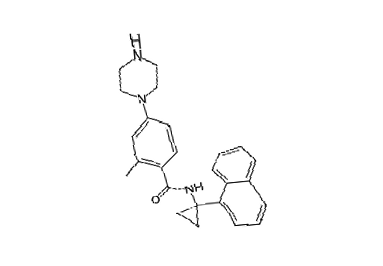 Cc1cc(N2CCNCC2)ccc1C(=O)NC1(c2cccc3ccccc23)CC1